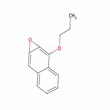 CCCOc1c2c(cc3ccccc13)O2